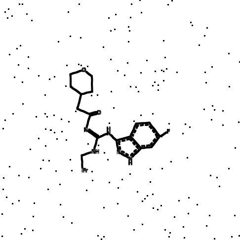 CC(C)CN/C(=N/C(=O)CC1CCOCC1)Nc1n[nH]c2cc(F)ccc12